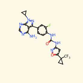 Nc1ncnc2c1c(-c1ccc(NC(=O)Nc3cc(C4(C(F)(F)F)CC4)on3)c(F)c1)nn2C1CC1